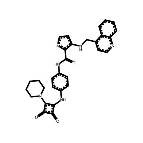 O=C(Nc1ccc(Nc2c(N3CCCCC3)c(=O)c2=O)cc1)c1sccc1NCc1ccnc2ccccc12